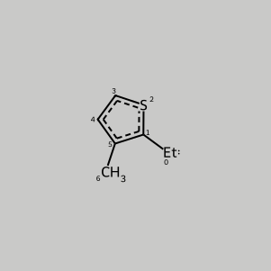 C[C]c1sccc1C